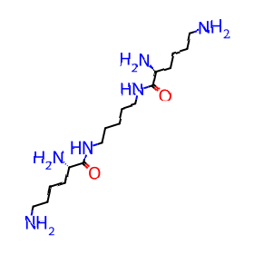 NCCCC[C@H](N)C(=O)NCCCCCNC(=O)[C@@H](N)CCCCN